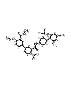 CNC(=O)c1cc(-c2ccc(C(=O)O)c(C(=O)Nc3ccc(-c4ccc(C)cc4C)c(C(F)(F)F)c3)c2)ccc1OC=O